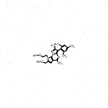 CCCOCCn1c(COC)cc2c(C)nc3c(-c4c(C)cc(C)cc4C)c(C)nn3c21